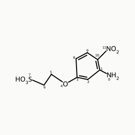 Nc1cc(OCCS(=O)(=O)O)ccc1[N+](=O)[O-]